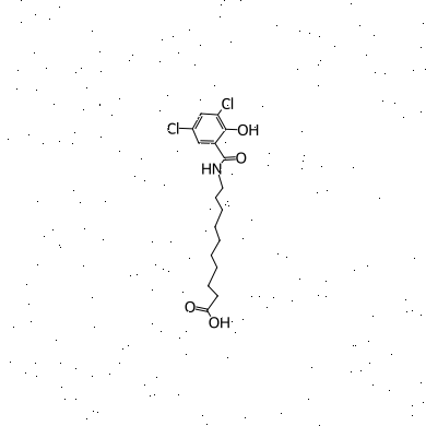 O=C(O)CCCCCCCCCNC(=O)c1cc(Cl)cc(Cl)c1O